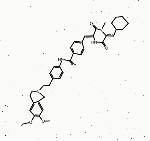 COc1cc2c(cc1OC)CN(CCc1ccc(NC(=O)c3ccc(C=c4[nH]c(=O)c(=CC5CCCCC5)n(C)c4=O)cc3)cc1)CC2